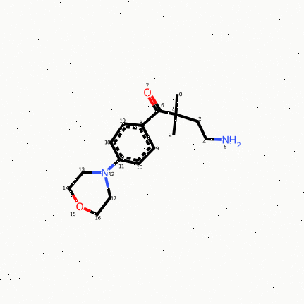 CC(C)(CCN)C(=O)c1ccc(N2CCOCC2)cc1